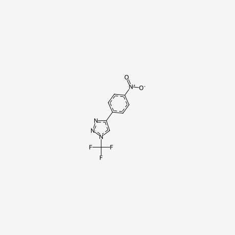 O=[N+]([O-])c1ccc(-c2cn(C(F)(F)F)nn2)cc1